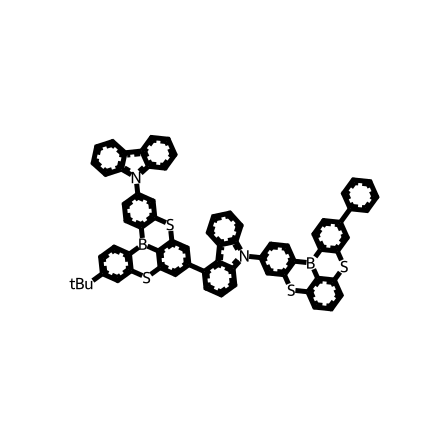 CC(C)(C)c1ccc2c(c1)Sc1cc(-c3cccc4c3c3ccccc3n4-c3ccc4c(c3)Sc3cccc5c3B4c3ccc(-c4ccccc4)cc3S5)cc3c1B2c1ccc(-n2c4ccccc4c4ccccc42)cc1S3